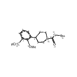 COc1c(C(=O)O)cccc1C1CCN(C(=O)OC(C)(C)C)CC1